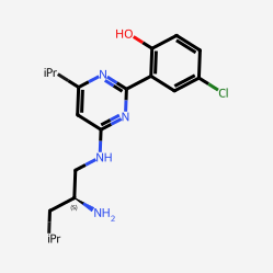 CC(C)C[C@H](N)CNc1cc(C(C)C)nc(-c2cc(Cl)ccc2O)n1